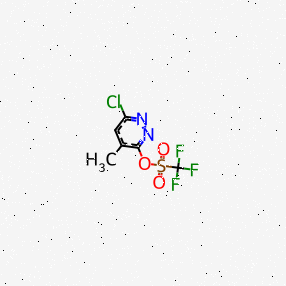 Cc1cc(Cl)nnc1OS(=O)(=O)C(F)(F)F